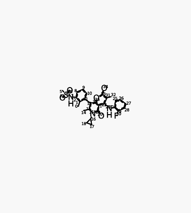 Cc1c(NS(C)(=O)=O)cccc1-c1c(C)n(C2CC2)c(=O)c2c(Nc3ccccc3F)c(C)c(=O)oc12